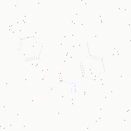 Cc1ccc(OC[C@](C)(O)C(=O)Nc2ccc(C#N)c(C)c2)cc1